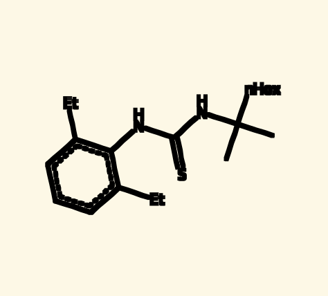 CCCCCCC(C)(C)NC(=S)Nc1c(CC)cccc1CC